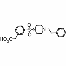 O=C(O)Cc1cccc(S(=O)(=O)N2CCN(CCc3ccccc3)CC2)c1